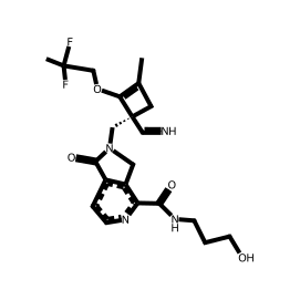 CC1=C(OCC(C)(F)F)[C@@](C=N)(CN2Cc3c(ccnc3C(=O)NCCCO)C2=O)C1